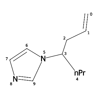 C=CCC(CCC)n1ccnc1